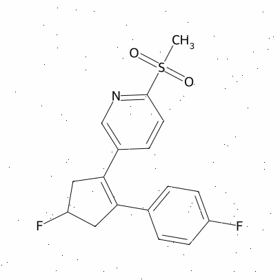 CS(=O)(=O)c1ccc(C2=C(c3ccc(F)cc3)CC(F)C2)cn1